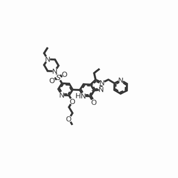 CCc1c2cc(-c3cc(S(=O)(=O)N4CCN(CC)CC4)cnc3OCCOC)[nH]c(=O)c2nn1Cc1ccccn1